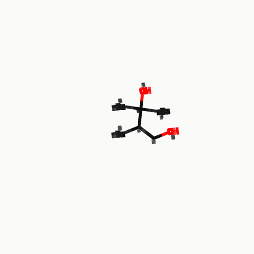 CCCCC(CO)C(O)(CCCC)CCCC